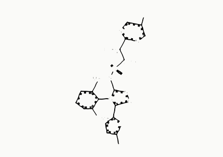 COc1cccc(OC)c1-n1c(NS(=O)(=O)[C@@H](C)[C@H](O)c2ncc(Cl)cn2)nnc1-c1ccc(C)o1